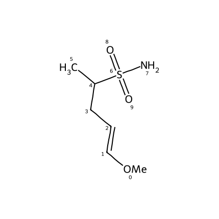 COC=CCC(C)S(N)(=O)=O